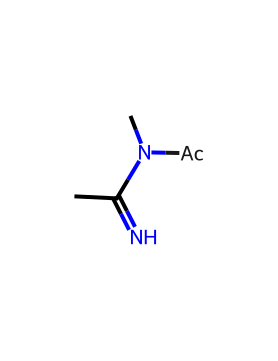 CC(=N)N(C)C(C)=O